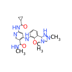 CNC(=O)c1cnc(NC(=O)C2CC2)cc1Nc1cccc(C2N=CN(C)N2)c1OC